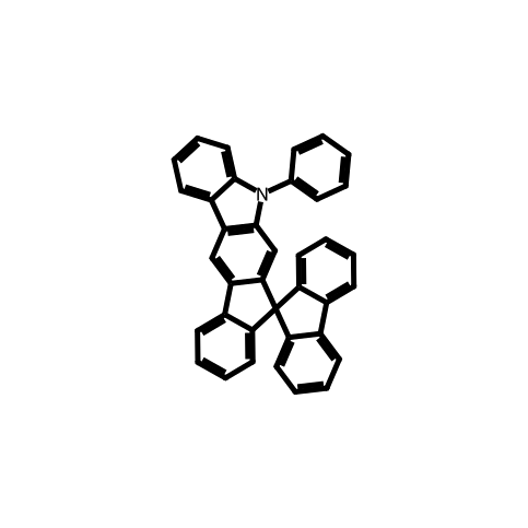 c1ccc(-n2c3ccccc3c3cc4c(cc32)C2(c3ccccc3-c3ccccc32)c2ccccc2-4)cc1